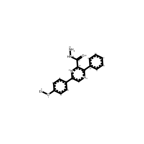 CCOc1ccc(-c2cnc(-c3ccccc3)c(C(=O)NN)n2)cc1